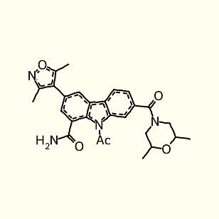 CC(=O)n1c2cc(C(=O)N3CC(C)OC(C)C3)ccc2c2cc(-c3c(C)noc3C)cc(C(N)=O)c21